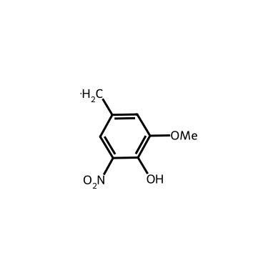 [CH2]c1cc(OC)c(O)c([N+](=O)[O-])c1